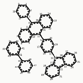 c1ccc(-c2c3ccccc3c(-c3ccc(-n4c5ccccc5c5ccccc54)cc3)c3ccccc23)cc1.c1ccc(-c2ccccc2)cc1